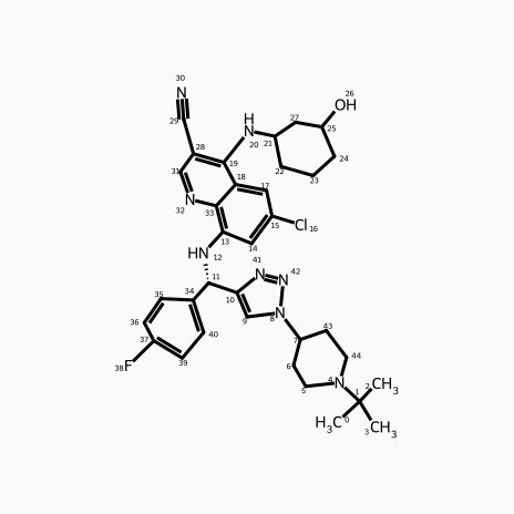 CC(C)(C)N1CCC(n2cc([C@@H](Nc3cc(Cl)cc4c(NC5CCCC(O)C5)c(C#N)cnc34)c3ccc(F)cc3)nn2)CC1